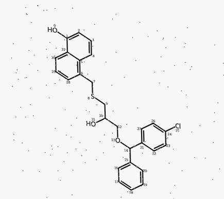 Oc1cccc2c(CSCC(O)COC(c3ccccc3)c3ccc(Cl)cc3)cccc12